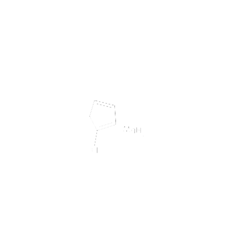 ClC1=CC=CC1.[MgH2]